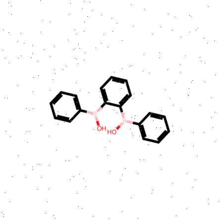 OB(c1ccccc1)c1ccccc1B(O)c1ccccc1